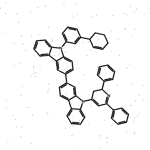 C1=CC(c2cccc(-n3c4ccccc4c4cc(-c5ccc6c7ccccc7n(C7=CC(c8ccccc8)=NC(c8ccccc8)C7)c6c5)ccc43)c2)CCC1